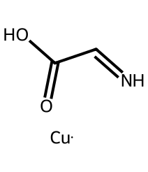 N=CC(=O)O.[Cu]